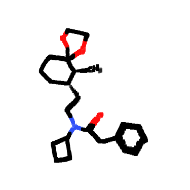 C[C@H]1[C@H](CCN(C(=O)Cc2ccccc2)C2CCC2)CCCC12OCCO2